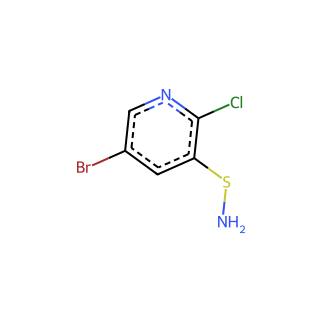 NSc1cc(Br)cnc1Cl